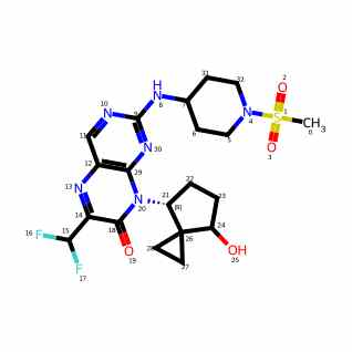 CS(=O)(=O)N1CCC(Nc2ncc3nc(C(F)F)c(=O)n([C@@H]4CCC(O)C45CC5)c3n2)CC1